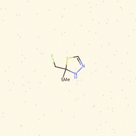 CSC1(CF)NN=CS1